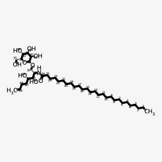 CCCCCCCCCCCCCCCCCCCCCCCCCCC(=O)N[C@@H](CO[C@H]1O[C@H](CO)[C@H](O)[C@H](O)[C@H]1O)[C@H](O)[C@H](O)CCCC